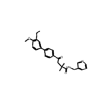 CCc1cc(-c2ccc(C(=O)CC(C)(C)C(=O)NCc3cccnc3)cc2)ccc1OC